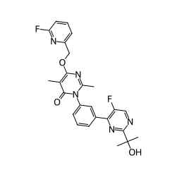 Cc1c(OCc2cccc(F)n2)nc(C)n(-c2cccc(-c3nc(C(C)(C)O)ncc3F)c2)c1=O